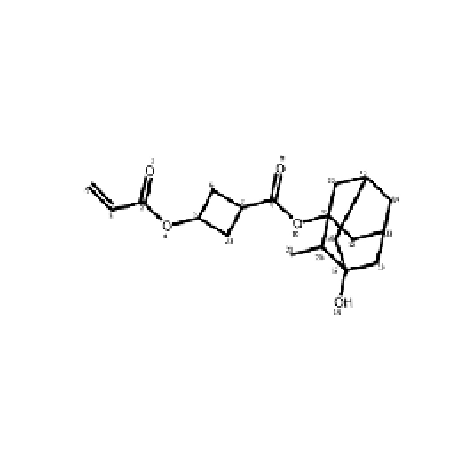 C=CC(=O)OC1CC(C(=O)OC23CC4CC(CC(O)(C4)C2C)C3)C1